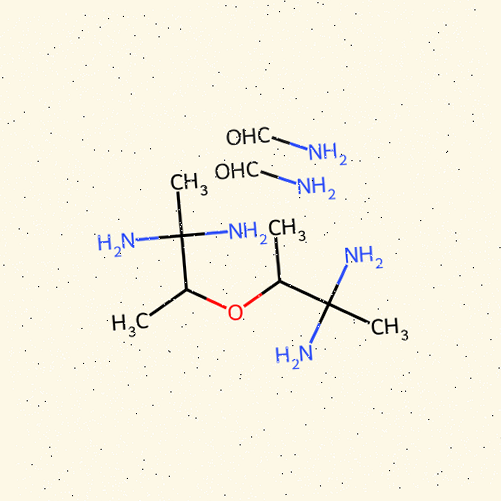 CC(OC(C)C(C)(N)N)C(C)(N)N.NC=O.NC=O